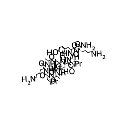 CCC(=O)N[C@@H](C)C(=O)N[C@@H](CC(C)C)C(=O)N[C@@H](CCCCN)C(=O)N[C@@H](C)C(=O)NCC(=O)N[C@@H](CCC=O)C(=O)N[C@@H](CC(C)C)C(=O)N[C@@H](Cc1ccc(O)cc1)C(=O)N[C@@H](CCCCN)C(N)=O